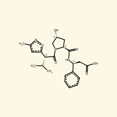 Cc1cc([C@H](C(=O)N2C[C@H](O)C[C@H]2C(=O)N[C@@H](CC(=O)O)c2ccccc2)C(C)C)on1